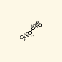 CCc1cc(-c2ccc(NS(=O)(=O)c3ccccc3Cl)nc2)cc2cnc(NC3CCCCC3)nc12